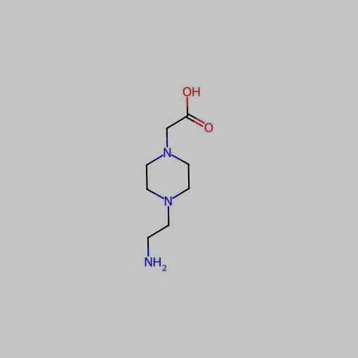 NCCN1CCN(CC(=O)O)CC1